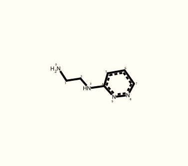 NCCNc1cccnn1